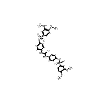 COc1ccc(S(=O)(=O)Oc2ccc(NC(=O)Nc3ccc(OS(=O)(=O)c4ccc(OC)c(OC)c4)cc3)cc2)cc1OC